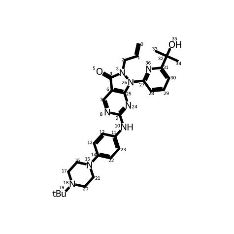 C=CCn1c(=O)c2cnc(Nc3ccc(N4CCN(C(C)(C)C)CC4)cc3)nc2n1-c1cccc(C(C)(C)O)n1